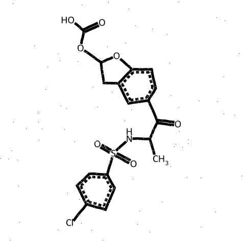 CC(NS(=O)(=O)c1ccc(Cl)cc1)C(=O)c1ccc2c(c1)CC(OC(=O)O)O2